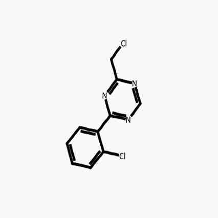 ClCc1ncnc(-c2ccccc2Cl)n1